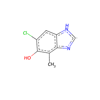 Cc1c(O)c(Cl)cc2[nH][c]nc12